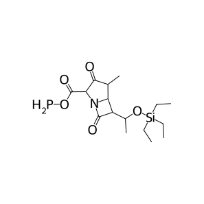 CC[Si](CC)(CC)OC(C)C1C(=O)N2C(C(=O)OP)C(=O)C(C)C12